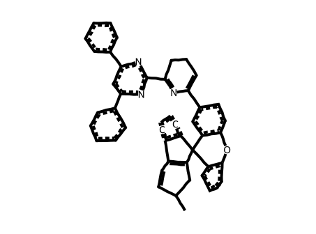 CC1C=CC2=C(C1)C1(c3ccccc3Oc3ccc(C4=CCCC(c5nc(-c6ccccc6)cc(-c6ccccc6)n5)=N4)cc31)c1ccccc12